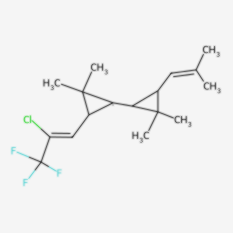 CC(C)=CC1C([C]2C(C=C(Cl)C(F)(F)F)C2(C)C)C1(C)C